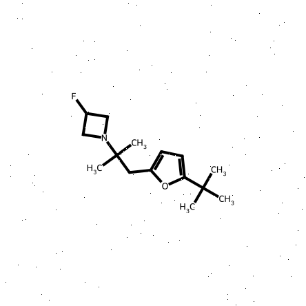 CC(C)(C)c1ccc(CC(C)(C)N2CC(F)C2)o1